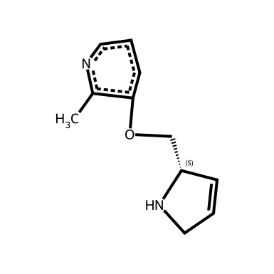 Cc1ncccc1OC[C@@H]1C=CCN1